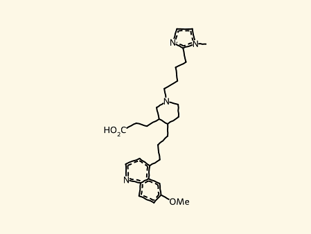 COc1ccc2nccc(CCCC3CCN(CCCCc4nccn4C)CC3CCC(=O)O)c2c1